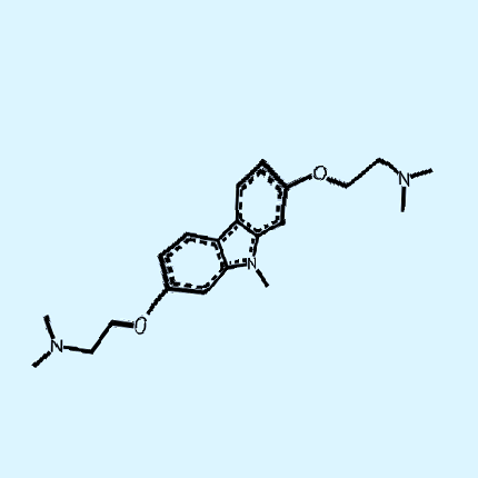 CN(C)CCOc1ccc2c3ccc(OCCN(C)C)cc3n(C)c2c1